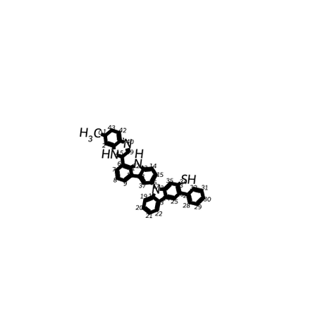 CC1C=C2NC(c3cccc4c3[nH]c3ccc(-n5c6ccccc6c6cc(-c7ccccc7)c(S)cc65)cc34)C=NC2=CC1